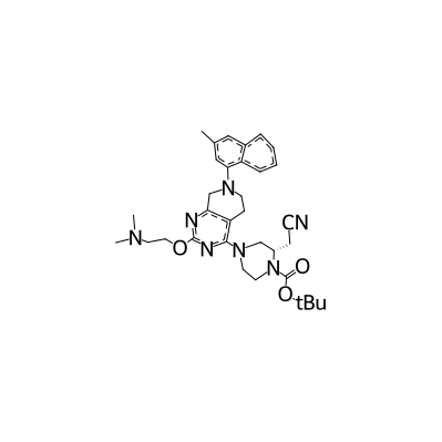 Cc1cc(N2CCc3c(nc(OCCN(C)C)nc3N3CCN(C(=O)OC(C)(C)C)[C@@H](CC#N)C3)C2)c2ccccc2c1